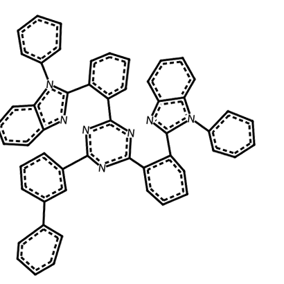 c1ccc(-c2cccc(-c3nc(-c4ccccc4-c4nc5ccccc5n4-c4ccccc4)nc(-c4ccccc4-c4nc5ccccc5n4-c4ccccc4)n3)c2)cc1